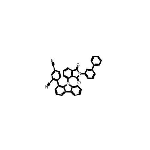 N#Cc1ccc(-c2cccc3c4ccccc4n(-c4cccc5c4C(=O)N(c4cccc(-c6ccccc6)c4)C5=O)c23)c(C#N)c1